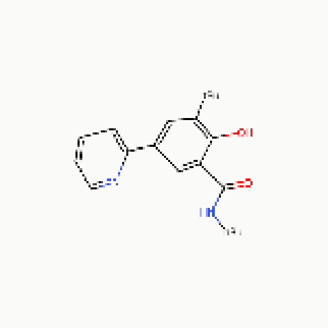 CCCCNC(=O)c1cc(-c2ccccn2)cc(C(C)(C)C)c1O